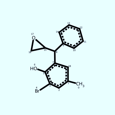 Cc1cc(Br)c(O)c(C(c2ccccc2)C2CO2)c1